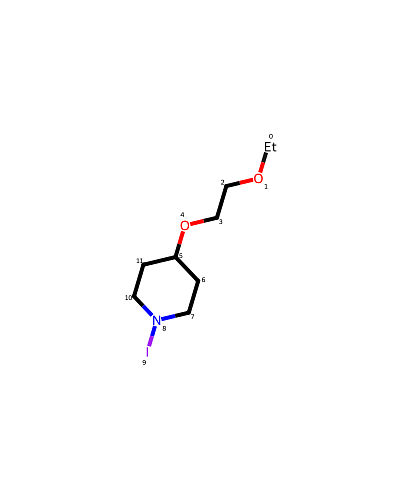 CCOCCOC1CCN(I)CC1